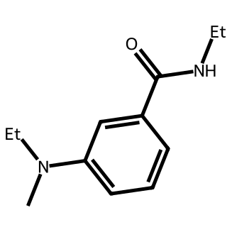 CCNC(=O)c1cccc(N(C)CC)c1